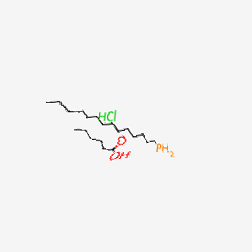 CCCCCC(=O)O.CCCCCCCCCCCCCCP.Cl